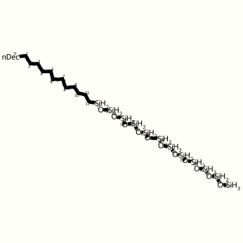 CCCCCCCCCCCCCCCCCCCCCC[SiH2]O[SiH2]O[SiH2]O[SiH2]O[SiH2]O[SiH2]O[SiH2]O[SiH2]O[SiH2]O[SiH2]O[SiH2]O[SiH3]